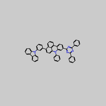 c1ccc(-c2nc(-c3ccccc3)nc(-c3ccc4c(c3)N(c3ccccc3)c3ccc(-c5cccc(-n6c7ccccc7c7ccccc76)c5)c5cccc-4c35)n2)cc1